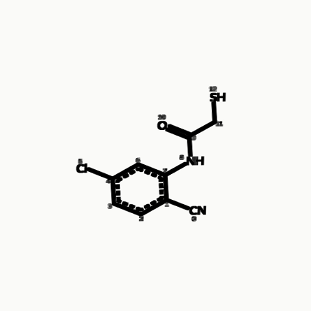 N#Cc1ccc(Cl)cc1NC(=O)CS